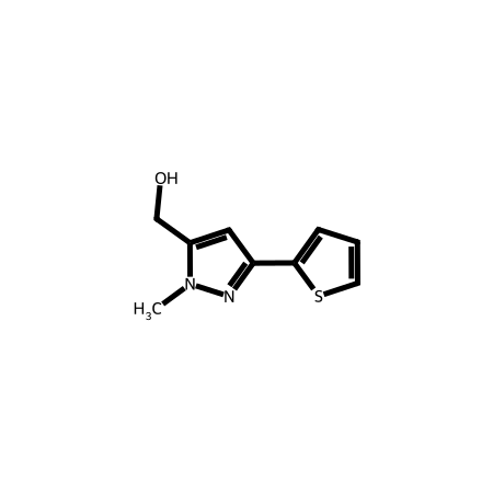 Cn1nc(-c2cccs2)cc1CO